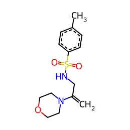 C=C(CNS(=O)(=O)c1ccc(C)cc1)N1CCOCC1